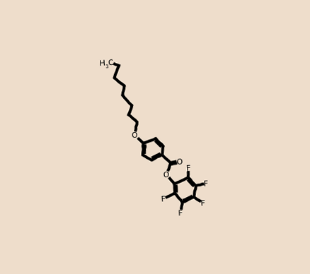 CCCCCCCCOc1ccc(C(=O)Oc2c(F)c(F)c(F)c(F)c2F)cc1